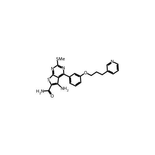 CSc1nc(-c2cccc(OCCCc3cccnc3)c2)c2c(N)c(C(N)=O)sc2n1